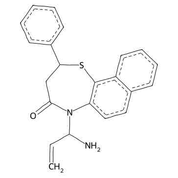 C=CC(N)N1C(=O)CC(c2ccccc2)Sc2c1ccc1ccccc21